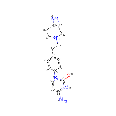 Nc1ccn(-c2ccc(CCN3CCC(N)CC3)cc2)c(=O)n1